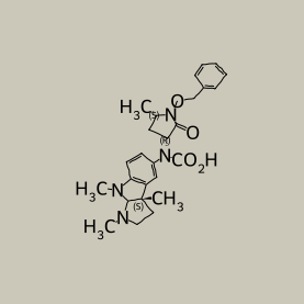 C[C@H]1C[C@@H](N(C(=O)O)c2ccc3c(c2)[C@]2(C)CCN(C)C2N3C)C(=O)N1OCc1ccccc1